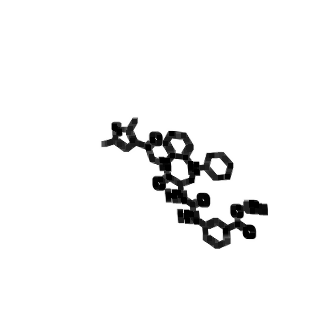 Cc1cc(C(=O)CN2C(=O)C(NC(=O)Nc3cccc(C(=O)OC(C)(C)C)c3)CN(C3CCCCC3)c3ccccc32)c(C)s1